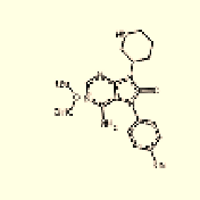 CC(C)(C)OC=O.N#Cc1ccc(-n2c(=O)n(C3CCCNC3)c3ncnc(N)c32)cc1